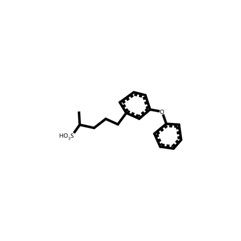 CC(CCCc1cccc(Oc2ccccc2)c1)S(=O)(=O)O